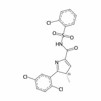 C[C@H]1C=C(C(=O)NS(=O)(=O)c2ccccc2Cl)N=C1c1cc(Cl)ccc1Cl